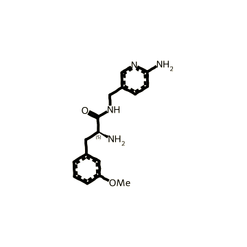 COc1cccc(C[C@H](N)C(=O)NCc2ccc(N)nc2)c1